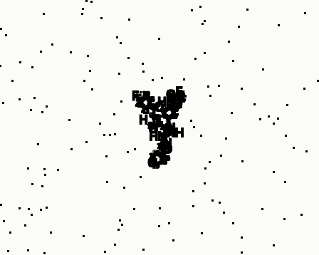 C[C@H](Oc1cc(-c2n[nH]c(Nc3cc(C4(C)CCOCC4)on3)c2C(N)=O)ccc1NS(=O)(=O)C(F)F)c1ccc(F)cc1